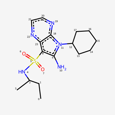 CCC(C)NS(=O)(=O)c1c(N)n(C2CCCCC2)c2nccnc12